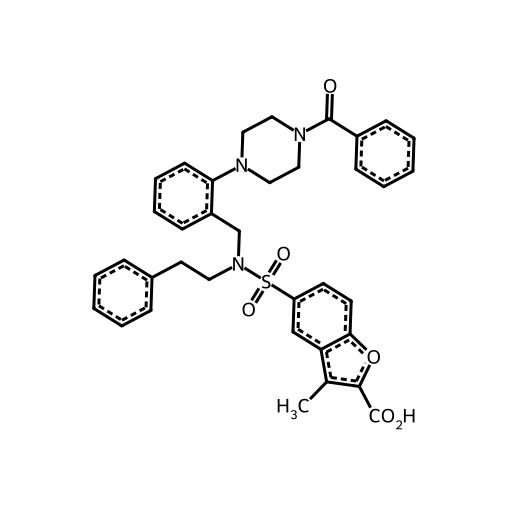 Cc1c(C(=O)O)oc2ccc(S(=O)(=O)N(CCc3ccccc3)Cc3ccccc3N3CCN(C(=O)c4ccccc4)CC3)cc12